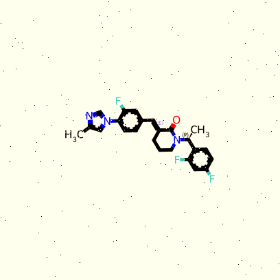 Cc1cn(-c2ccc(/C=C3\CCCN([C@H](C)c4ccc(F)cc4F)C3=O)cc2F)cn1